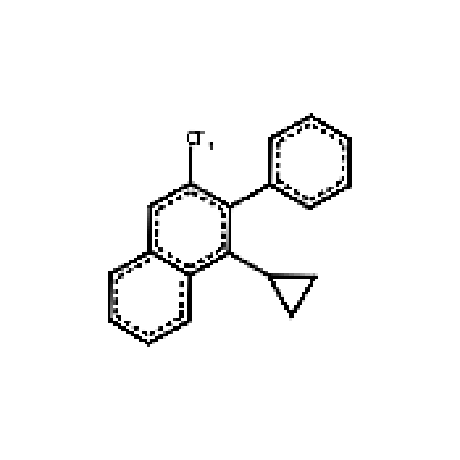 FC(F)(F)c1cc2ccccc2c(C2CC2)c1-c1ccccc1